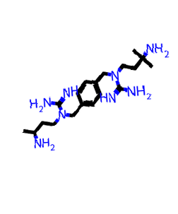 CC(N)CCN(Cc1ccc(CN(CCC(C)(C)N)C(=N)N)cc1)C(=N)N